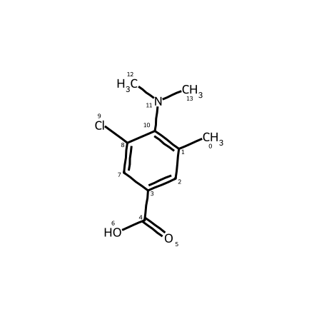 Cc1cc(C(=O)O)cc(Cl)c1N(C)C